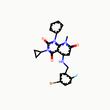 Cn1c(=O)cc(NCc2cc(Br)ccc2F)c2c(=O)n(C3CC3)c(=O)n(-c3ccccc3)c21